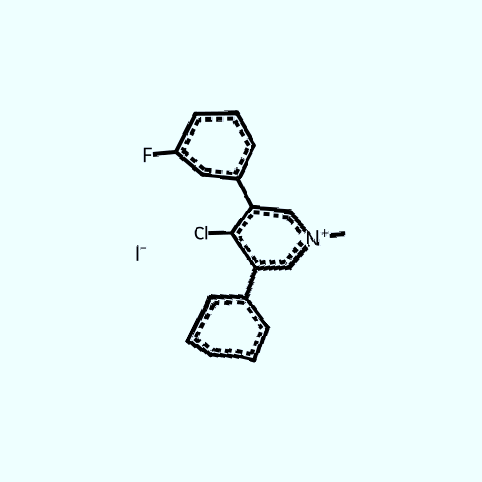 C[n+]1cc(-c2ccccc2)c(Cl)c(-c2cccc(F)c2)c1.[I-]